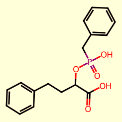 O=C(O)C(CCc1ccccc1)OP(=O)(O)Cc1ccccc1